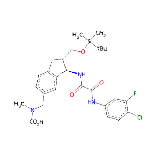 CN(Cc1ccc2c(c1)[C@H](NC(=O)C(=O)Nc1ccc(Cl)c(F)c1)[C@@H](CO[Si](C)(C)C(C)(C)C)C2)C(=O)O